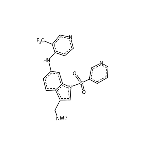 CNCc1cn(S(=O)(=O)c2cccnc2)c2cc(Nc3ccncc3C(F)(F)F)ccc12